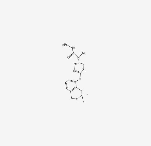 CCCNC(=O)N(C(C)=O)c1ccc(Oc2cccc3c2CC(C)(C)OC3)nc1